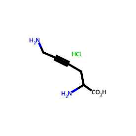 Cl.NCC#CCC(N)C(=O)O